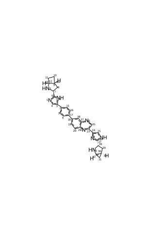 c1cc(-c2cnc([C@@H]3C[C@H]4CC[C@H]4N3)[nH]2)ccc1-c1ccc2nc(-c3c[nH]c([C@@H]4C[C@H]5C[C@H]5N4)n3)cnc2c1